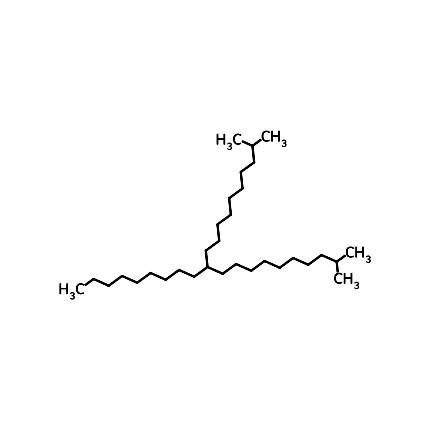 CCCCCCCCCC(CCCCCCCCC(C)C)CCCCCCCCC(C)C